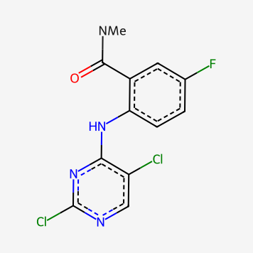 CNC(=O)c1cc(F)ccc1Nc1nc(Cl)ncc1Cl